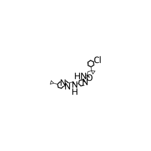 O=C(CC1(c2cccc(Cl)c2)CC1)Nc1cc(NCc2cn3cc(C4CC4)ccc3n2)ccn1